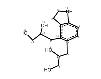 OCC(O)Cc1ccc2c(c1CC(O)CO)CCN2